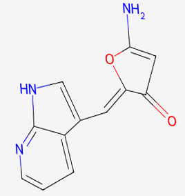 NC1=CC(=O)/C(=C/c2c[nH]c3ncccc23)O1